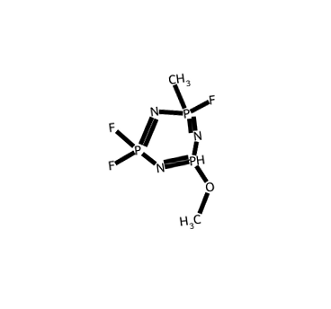 CO[PH]1=NP(F)(F)=NP(C)(F)=N1